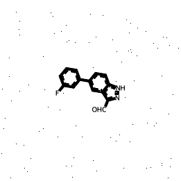 O=Cc1n[nH]c2ccc(-c3cccc(F)c3)cc12